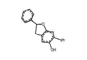 CC(C)c1nc2c(cc1O)CC(c1ccccc1)O2